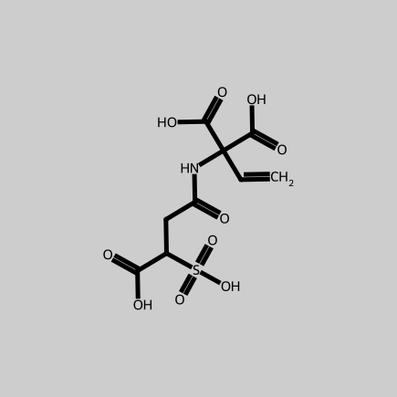 C=CC(NC(=O)CC(C(=O)O)S(=O)(=O)O)(C(=O)O)C(=O)O